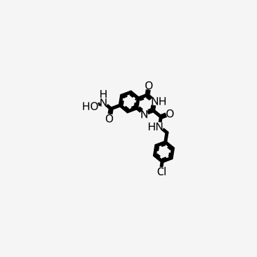 O=C(NO)c1ccc2c(=O)[nH]c(C(=O)NCc3ccc(Cl)cc3)nc2c1